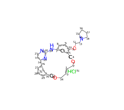 C1=C/COCc2cc(ccc2OCCN2CCCC2)Nc2nccc(n2)-c2cccc(c2)COC/1.Cl